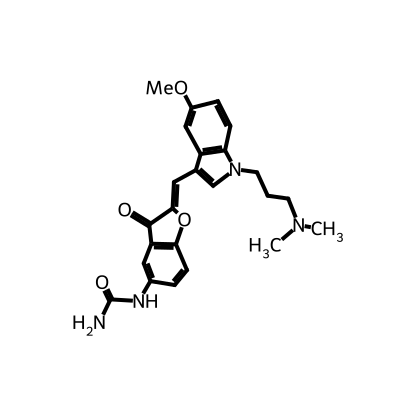 COc1ccc2c(c1)c(/C=C1\Oc3ccc(NC(N)=O)cc3C1=O)cn2CCCN(C)C